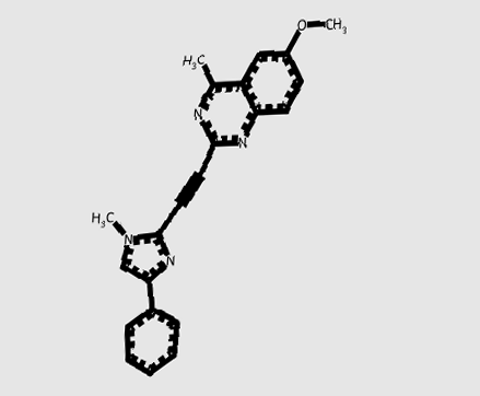 COc1ccc2nc(C#Cc3nc(-c4ccccc4)cn3C)nc(C)c2c1